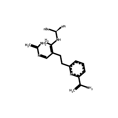 C=C(N)/N=C\C(CCc1cccc(C(=C)N)n1)=C(/C)N[C@H](CCC)CCCC